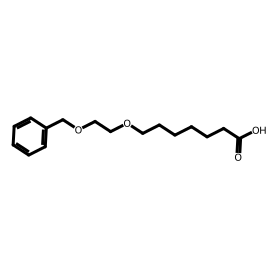 O=C(O)CCCCCCOCCOCc1ccccc1